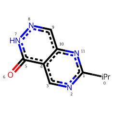 CC(C)c1ncc2c(=O)[nH]ncc2n1